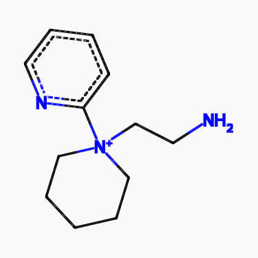 NCC[N+]1(c2ccccn2)CCCCC1